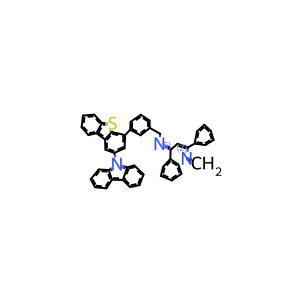 C=N/C(=C\C(=N/Cc1cccc(-c2cc(-n3c4ccccc4c4ccccc43)cc3c2sc2ccccc23)c1)c1ccccc1)c1ccccc1